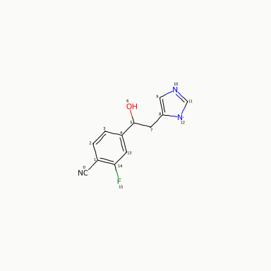 N#Cc1ccc(C(O)CC2=CN=C[N]2)cc1F